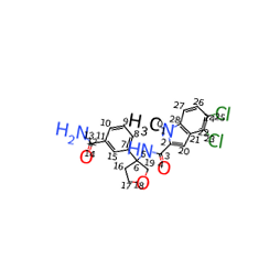 Cn1c(C(=O)NC2(c3cccc(C(N)=O)c3)CCOC2)cc2c(Cl)c(Cl)ccc21